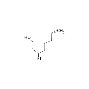 C=CCCCC(CC)CCO